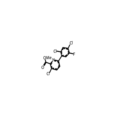 COC(=O)c1nc(-c2cc(F)c(Cl)cc2Cl)ccc1Cl